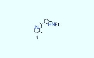 C#Cc1ccnc(/C=C(\C)C2=CC=C(CNCC)C2)c1C